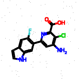 Nc1cc(-c2cc3[nH]ccc3cc2F)nc(C(=O)O)c1Cl